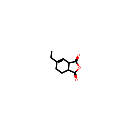 CCC1=CC2C(=O)OC(=O)C2CC1